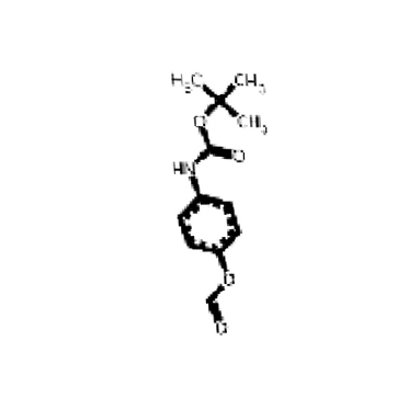 CC(C)(C)OC(=O)Nc1ccc(OC=O)cc1